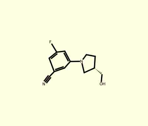 N#Cc1cc(F)cc(N2CC[C@H](CO)C2)c1